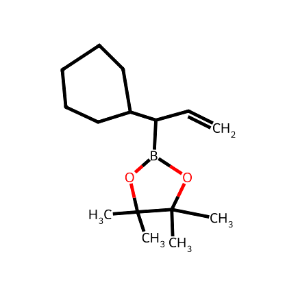 C=CC(B1OC(C)(C)C(C)(C)O1)C1CCCCC1